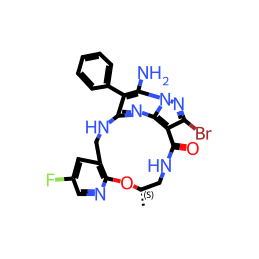 C[C@H]1CNC(=O)c2c(Br)nn3c(N)c(-c4ccccc4)c(nc23)NCc2cc(F)cnc2O1